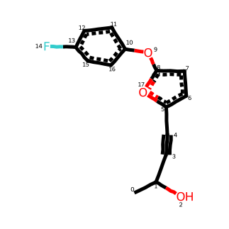 CC(O)C#Cc1ccc(Oc2ccc(F)cc2)o1